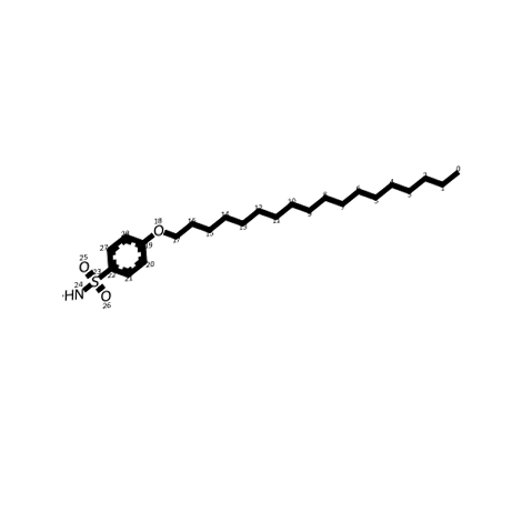 CCCCCCCCCCCCCCCCCCOc1ccc(S([NH])(=O)=O)cc1